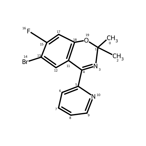 CC1(C)N=C(c2ccccn2)c2cc(Br)c(F)cc2O1